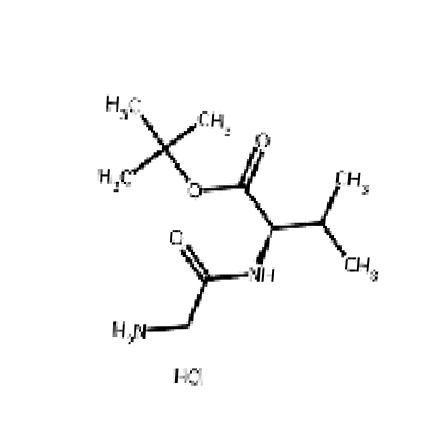 CC(C)[C@@H](NC(=O)CN)C(=O)OC(C)(C)C.Cl